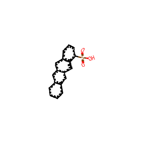 O=S(=O)(O)c1cccc2cc3cc4ccccc4cc3cc12